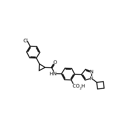 O=C(O)c1cc(NC(=O)C2CC2c2ccc(Cl)cc2)ccc1-c1cnn(C2CCC2)c1